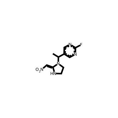 CC(c1cnc(F)nc1)N1CCNC1=C[N+](=O)[O-]